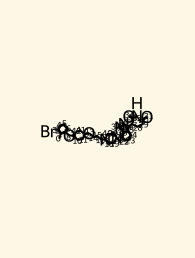 Cc1c(Br)cccc1OC1CCC(OCCCN2CCN(c3cccc4c(C5CCC(=O)NC5=O)nn(C)c34)CC2)CC1